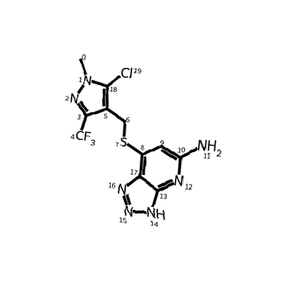 Cn1nc(C(F)(F)F)c(CSc2cc(N)nc3[nH]nnc23)c1Cl